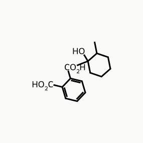 CC1CCCCC1(C)O.O=C(O)c1ccccc1C(=O)O